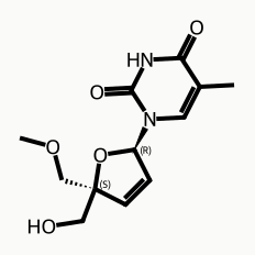 COC[C@@]1(CO)C=C[C@H](n2cc(C)c(=O)[nH]c2=O)O1